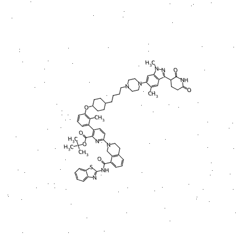 Cc1cc2c(C3CCC(=O)NC3=O)nn(C)c2cc1N1CCN(CCCCC2CCC(Oc3cccc(-c4ccc(N5CCc6cccc(C(=O)Nc7nc8ccccc8s7)c6C5)nc4C(=O)OC(C)(C)C)c3C)CC2)CC1